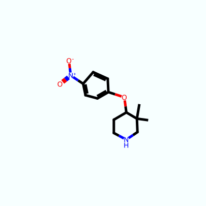 CC1(C)CNCCC1Oc1ccc([N+](=O)[O-])cc1